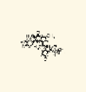 Cc1cc([C@@H](C)Nc2ccc(Cl)nc2C(=O)NS(C)(=O)=O)c2nc(N3CCc4nocc4C3)n(C)c(=O)c2c1